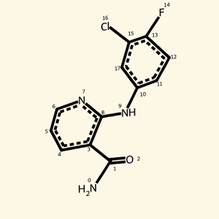 NC(=O)c1cccnc1Nc1ccc(F)c(Cl)c1